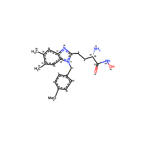 COc1ccc(Cn2c(CC[C@H](N)C(=O)NO)nc3cc(C)c(C)cc32)cc1